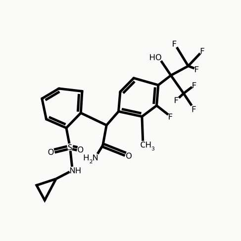 Cc1c(C(C(N)=O)c2ccccc2S(=O)(=O)NC2CC2)ccc(C(O)(C(F)(F)F)C(F)(F)F)c1F